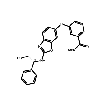 CNC(=O)c1cc(Oc2ccc3nc(N[C@@H](CO)c4ccccc4)oc3c2)ccn1